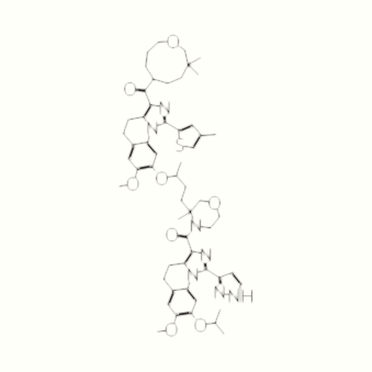 COc1cc2c(cc1OC(C)C)-n1c(-c3cc[nH]n3)nc(C(=O)N3CCOCC3(C)CCC(C)Oc3cc4c(cc3OC)CCc3c(C(=O)C5CCCOCC(C)(C)CC5)nc(-c5cc(C)cs5)n3-4)c1CC2